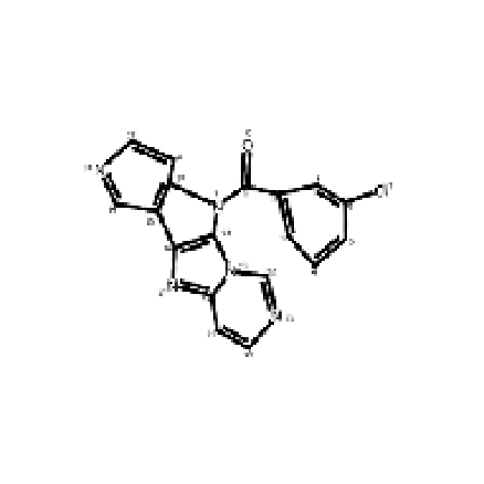 O=C(c1cccc(Cl)c1)n1c2ccncc2c2nc3ccncn3c21